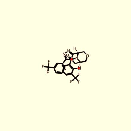 O=C(c1cccc(C(F)(F)F)c1Cl)N1[C@H]2COC[C@@H]1c1nnc(-c3cc(C(F)(F)F)ccn3)n1C2